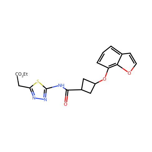 CCOC(=O)Cc1nnc(NC(=O)C2CC(Oc3cccc4ccoc34)C2)s1